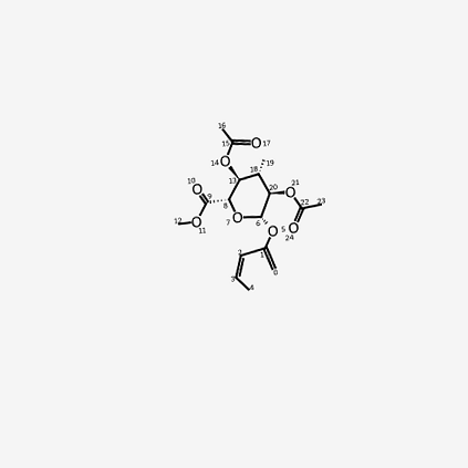 C=C(/C=C\C)O[C@@H]1O[C@H](C(=O)OC)[C@@H](OC(C)=O)[C@H](C)[C@H]1OC(C)=O